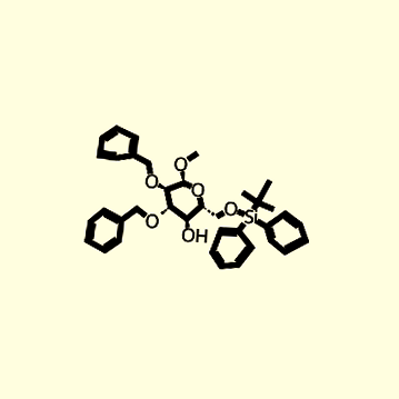 CO[C@H]1O[C@H](CO[Si](c2ccccc2)(c2ccccc2)C(C)(C)C)[C@@H](O)[C@H](OCc2ccccc2)[C@H]1OCc1ccccc1